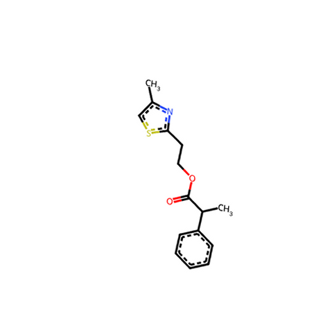 Cc1csc(CCOC(=O)C(C)c2ccccc2)n1